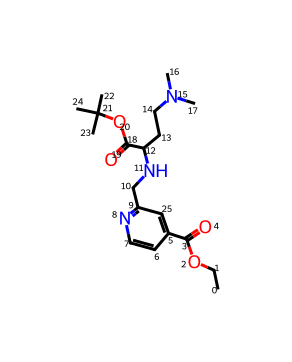 CCOC(=O)c1ccnc(CNC(CCN(C)C)C(=O)OC(C)(C)C)c1